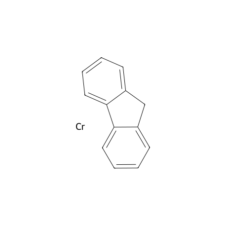 [Cr].c1ccc2c(c1)Cc1ccccc1-2